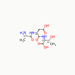 C[C@H](N)C(=O)N[C@@H](CC(=O)O)C(=O)N[C@H](C(=O)O)[C@@H](C)O